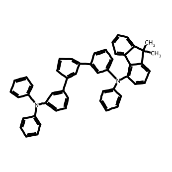 CC1(C)c2ccccc2-c2c(N(c3ccccc3)c3cccc(-c4cccc(-c5cccc(N(c6ccccc6)c6ccccc6)c5)c4)c3)cccc21